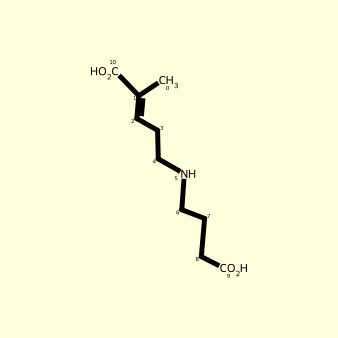 CC(=CCCNCCCC(=O)O)C(=O)O